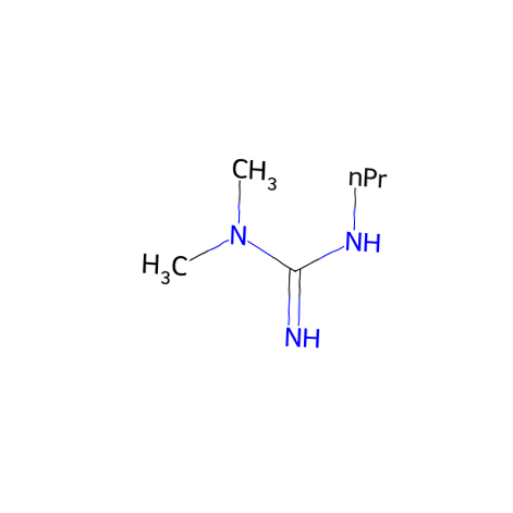 [CH2]CCNC(=N)N(C)C